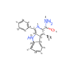 CCc1c(C(N)=O)nc(-c2ccccc2)c2[nH]c3ccccc3c12